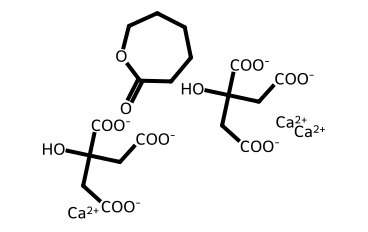 O=C([O-])CC(O)(CC(=O)[O-])C(=O)[O-].O=C([O-])CC(O)(CC(=O)[O-])C(=O)[O-].O=C1CCCCCO1.[Ca+2].[Ca+2].[Ca+2]